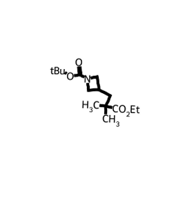 CCOC(=O)C(C)(C)CC1CN(C(=O)OC(C)(C)C)C1